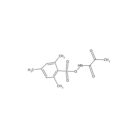 CC(=O)C(=O)NOS(=O)(=O)c1c(C)cc(C)cc1C